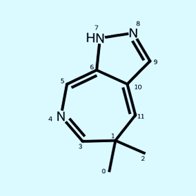 CC1(C)C=NC=c2[nH]ncc2=C1